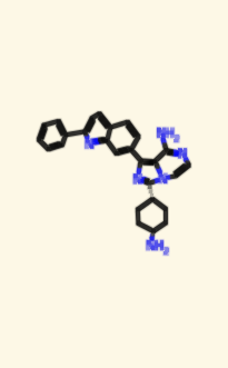 Nc1nccn2c1c(-c1ccc3ccc(-c4ccccc4)nc3c1)nc2[C@H]1CC[C@H](N)CC1